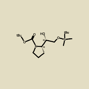 CC(C)(C)OC(=O)N1CCC[C@H]1[C@H](O)CO[Si](C)(C)C(C)(C)C